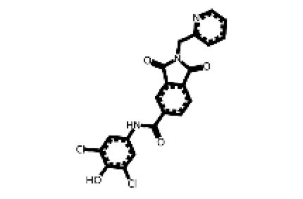 O=C(Nc1cc(Cl)c(O)c(Cl)c1)c1ccc2c(c1)C(=O)N(Cc1ccccn1)C2=O